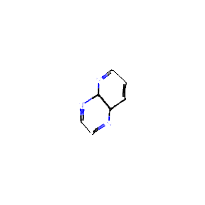 C1=CC2N=CC=NC2N=C1